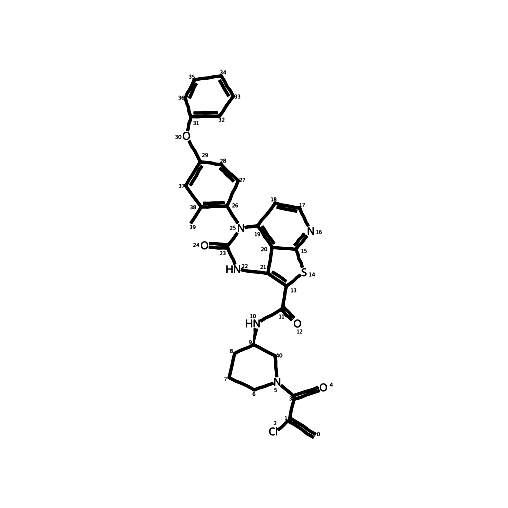 C=C(Cl)C(=O)N1CCC[C@@H](NC(=O)c2sc3nccc4c3c2NC(=O)N4c2ccc(Oc3ccccc3)cc2C)C1